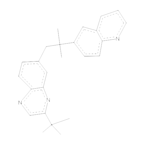 CC(C)(C)c1cnc2ccc(CC(C)(C)c3ccc4ncccc4c3)cc2n1